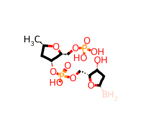 B[C@H]1C[C@@H](O)[C@@H](COP(=O)(O)O[C@@H]2C[C@H](C)O[C@@H]2COP(=O)(O)O)O1